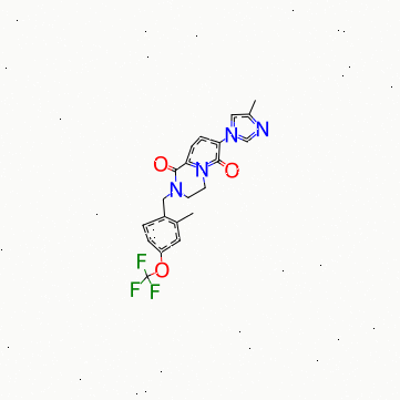 Cc1cn(-c2ccc3n(c2=O)CCN(Cc2ccc(OC(F)(F)F)cc2C)C3=O)cn1